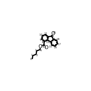 CCCCCOC(=O)c1cccc2c1-c1ccccc1C2=O